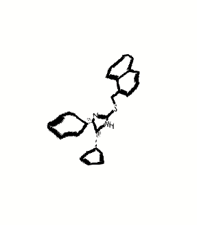 C1=CCC([C@@H]2N=C(SCc3cccc4ccccc34)N[C@@H]2c2ccccc2)C=C1